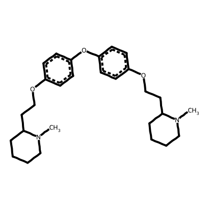 CN1CCCCC1CCOc1ccc(Oc2ccc(OCCC3CCCCN3C)cc2)cc1